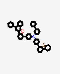 C1=Cc2c(sc3c(-c4ccc(N(c5ccc(-c6cccc7c6oc6c8ccccc8c(-c8ccccc8)cc76)cc5)c5cccc(-c6ccccc6)c5)cc4)cccc23)CC1